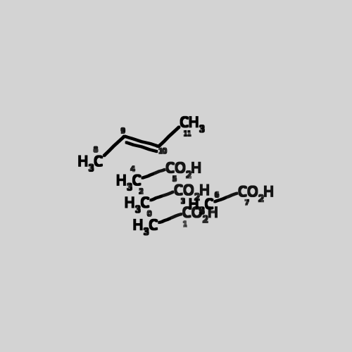 CC(=O)O.CC(=O)O.CC(=O)O.CC(=O)O.CC=CC